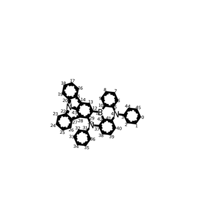 c1ccc(N2c3ccccc3B3c4cc5c6ccccc6n6c7ccccc7c(c4N(c4ccccc4)c4cccc2c43)c56)cc1